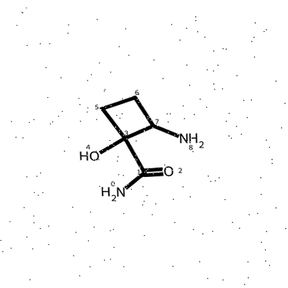 NC(=O)C1(O)CCC1N